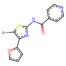 O=C(Nc1nc(-c2ccco2)c(Br)s1)c1ccncc1